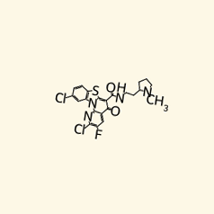 CN1CCCC1CCNC(=O)c1c(=O)c2cc(F)c(Cl)nc2n2c1sc1ccc(Cl)cc12